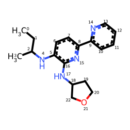 CCC(C)Nc1ccc(-c2ccccn2)nc1NC1CCOC1